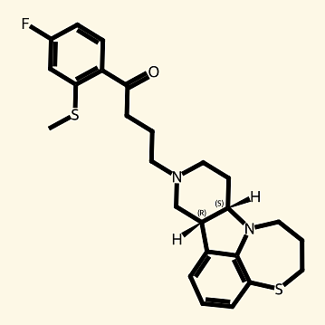 CSc1cc(F)ccc1C(=O)CCCN1CC[C@H]2[C@@H](C1)c1cccc3c1N2CCCS3